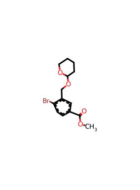 COC(=O)c1ccc(Br)c(COC2CCCCO2)c1